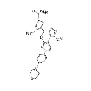 COC(=O)c1cc(C#N)c(COc2nc(-c3ccc(N4CCOCC4)cc3)ccc2-c2ccoc2C#N)s1